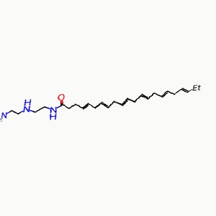 CCC=CCC=CCC=CCC=CCC=CCC=CCCC(=O)NCCNCCN